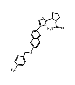 N=C(N)N1CCCC1c1nc(-c2ccc3cc(OCc4ccc(C(F)(F)F)cc4)ccc3c2)no1